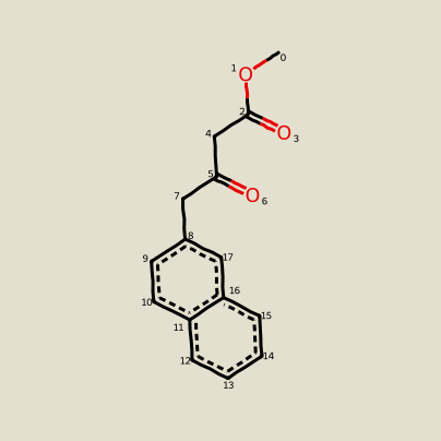 COC(=O)CC(=O)Cc1ccc2ccccc2c1